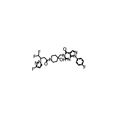 O=C(CC(C(F)F)n1ccc(F)n1)N1CCC(O)(Cn2cnc3c(cnn3-c3ccc(F)cc3)c2=O)CC1